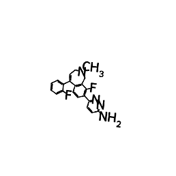 CN1CC=C(c2ccccc2F)c2ccc(-c3ccc(N)nn3)c(F)c2C1